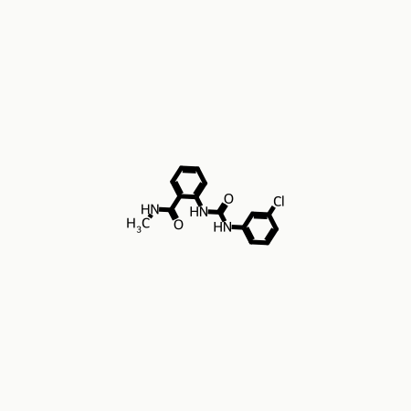 CNC(=O)c1ccccc1NC(=O)Nc1cccc(Cl)c1